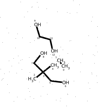 CC.CC(C)(CO)CO.OCCO